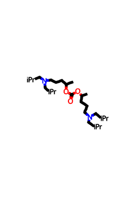 CC(C)CN(CCCC(C)OC(=O)OC(C)CCCN(CC(C)C)CC(C)C)CC(C)C